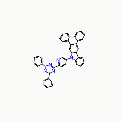 c1ccc(-c2nc(-c3ccccc3)nc(-c3ccc(-n4c5ccccc5c5cc6c7ccccc7c7ccccc7c6cc54)cn3)n2)cc1